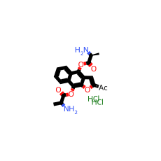 CC(=O)c1cc2c(OC(=O)[C@H](C)N)c3ccccc3c(OC(=O)C(C)N)c2o1.Cl.Cl